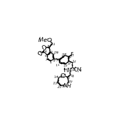 COCC1OC(=O)c2ccc(-c3ccc(C[C@@H](C#N)NCC4CNCCCO4)c(F)c3)cc21